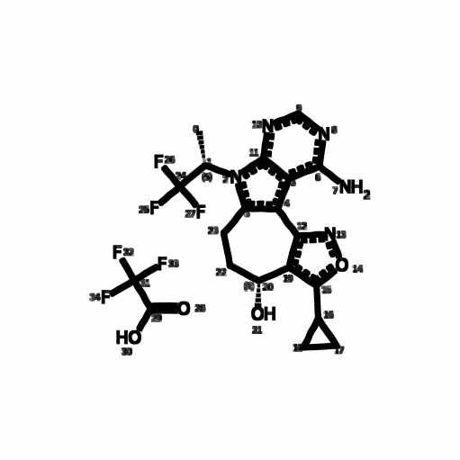 C[C@H](n1c2c(c3c(N)ncnc31)-c1noc(C3CC3)c1[C@H](O)CC2)C(F)(F)F.O=C(O)C(F)(F)F